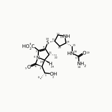 C[C@@H](O)[C@H]1C(=O)N2C(C(=O)O)=C(S[C@@H]3CN[C@H](CNC(N)=O)C3)[C@H](C)[C@H]12